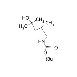 CC(CNC(=O)OC(C)(C)C)CC(C)(C)O